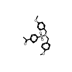 COc1ccc(CN(Cc2ccc(OC)cc2)S(=O)(=O)c2ccc(C(C)=O)cc2)cc1